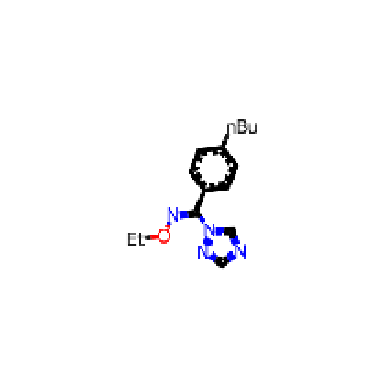 CCCCc1ccc(C(=NOCC)n2cncn2)cc1